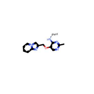 CCC[C@@H](C)Nc1nc(C)ncc1OCc1cn2ccccc2n1